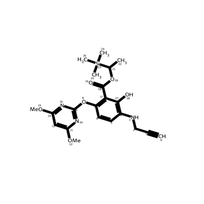 C#CCNc1ccc(Oc2nc(OC)cc(OC)n2)c(C(=O)OC(C)[Si](C)(C)C)c1O